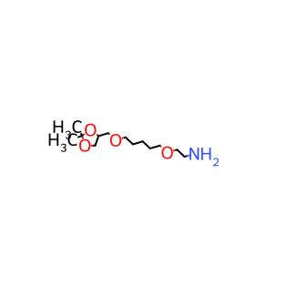 CC1(C)OCC(COCCCCCOCCN)O1